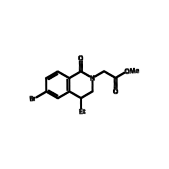 CCC1CN(CC(=O)OC)C(=O)c2ccc(Br)cc21